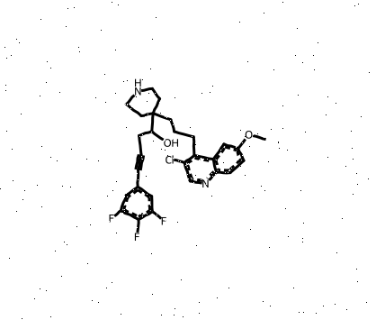 COc1ccc2ncc(Cl)c(CCCC3(C(O)CC#Cc4cc(F)c(F)c(F)c4)CCNCC3)c2c1